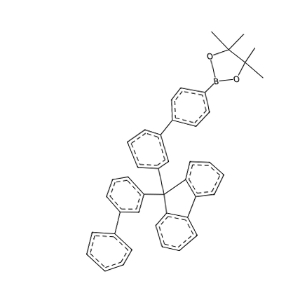 CC1(C)OB(c2ccc(-c3cccc(C4(c5cccc(-c6ccccc6)c5)c5ccccc5-c5ccccc54)c3)cc2)OC1(C)C